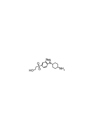 NC1CCC(n2nnc3cc(S(=O)(=O)CCO)ccc32)CC1